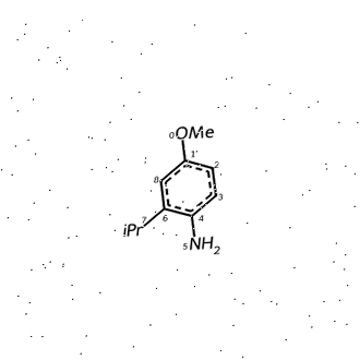 COc1ccc(N)c(C(C)C)c1